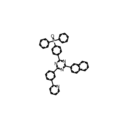 O=P(c1ccccc1)(c1ccccc1)c1ccc(-c2nc(-c3cccc(-c4ccccn4)c3)nc(-c3ccc4ccccc4c3)n2)cc1